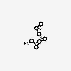 N#Cc1cccc(-n2c3ccccc3c3cc4c5ccccc5n(-c5ccc(-c6cccc7c6sc6ccccc67)cc5)c4cc32)c1